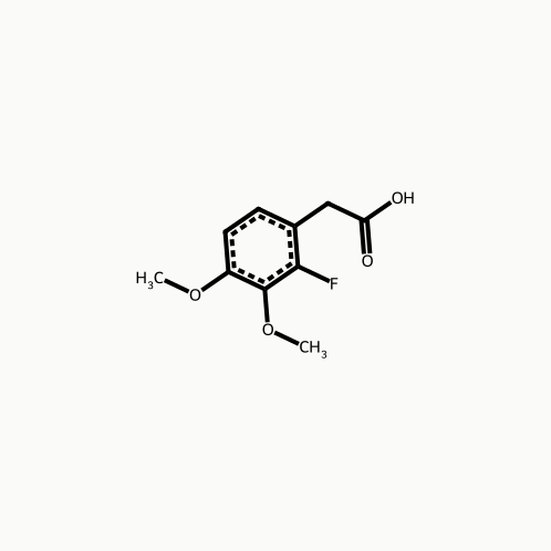 COc1ccc(CC(=O)O)c(F)c1OC